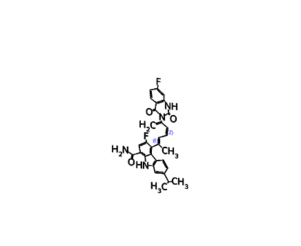 C=C(/C=C\C=C(/C)c1c(F)cc(C(N)=O)c2[nH]c3cc(C(C)C)ccc3c12)n1c(=O)[nH]c2cc(F)ccc2c1=O